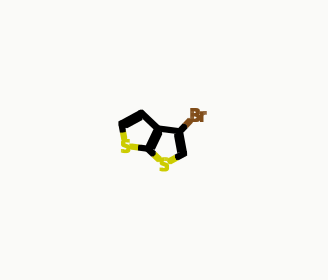 Brc1csc2sccc12